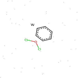 ClOCl.[W].c1ccccc1